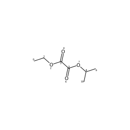 CCOC(=O)C(=O)OC(C)C